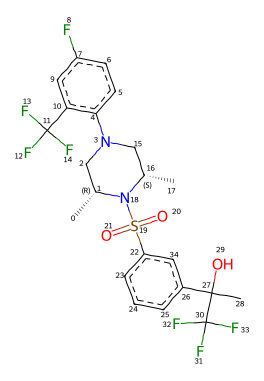 C[C@@H]1CN(c2ccc(F)cc2C(F)(F)F)C[C@H](C)N1S(=O)(=O)c1cccc(C(C)(O)C(F)(F)F)c1